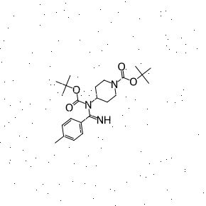 Cc1ccc(C(=N)N(C(=O)OC(C)(C)C)C2CCN(C(=O)OC(C)(C)C)CC2)cc1